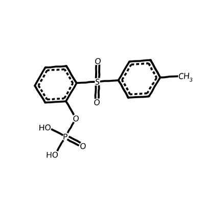 Cc1ccc(S(=O)(=O)c2ccccc2OP(=O)(O)O)cc1